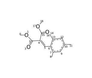 COC(=O)C(=Cc1c(C)cc(C)cc1C)C(=O)OC